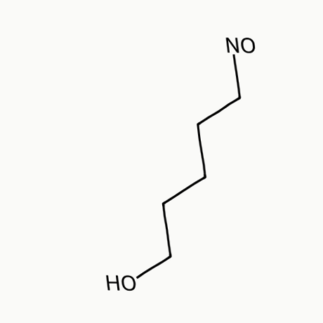 O=NCCCCCO